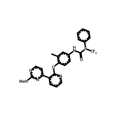 CNc1nccc(-c2cccnc2Oc2ccc(NC(=O)N(c3ccccc3)C(F)(F)F)cc2C)n1